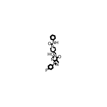 O=C(Nc1ccccc1)N1CCC(O)(Cn2cnc3c(cnn3-c3ccc(F)cc3)c2=O)CC1